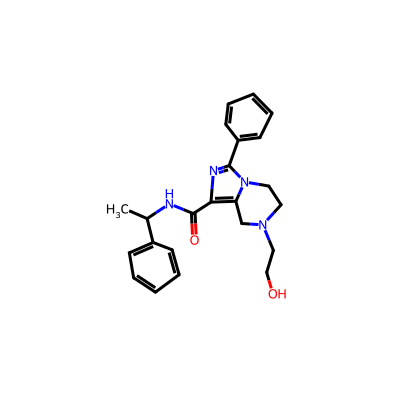 CC(NC(=O)c1nc(-c2ccccc2)n2c1CN(CCO)CC2)c1ccccc1